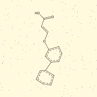 O=C(O)C=COc1cccc(-c2ccccc2)c1